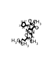 CN(C)CCC(=O)N(C)Cc1nnc2c(n1)c(=O)n(C)c(=O)n2C1CCCC1